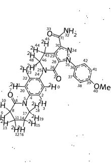 [2H]c1c([2H])c(N2C(=O)C([2H])([2H])C([2H])([2H])C([2H])([2H])C2([2H])[2H])c([2H])c([2H])c1N1C(=O)c2c(c(C(N)=O)nn2-c2ccc(OC)cc2)C([2H])([2H])C1([2H])[2H]